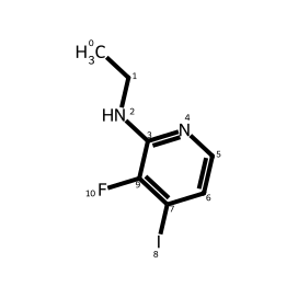 CCNc1nccc(I)c1F